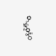 O=C(Nc1ccc(-c2nnc(SCc3ccccc3)o2)c(F)c1)C1CCCCC1